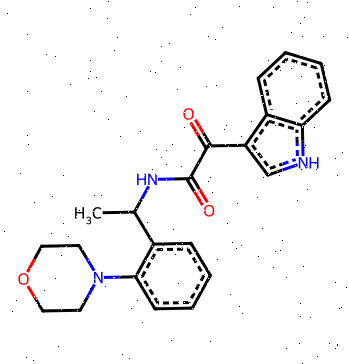 CC(NC(=O)C(=O)c1c[nH]c2ccccc12)c1ccccc1N1CCOCC1